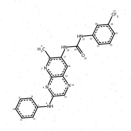 Cc1nc2nc(Nc3ccccc3)cnc2cc1NC(=O)Nc1cccc(C(F)(F)F)c1